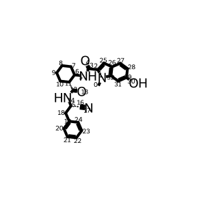 Cn1c(C(=O)NC2CCCC[C@H]2C(=O)N[C@H](C#N)Cc2ccccc2)cc2ccc(O)cc21